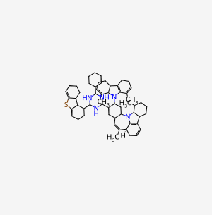 CC1=CCCC2=C1N(C1CC3C(C=C1C1NC(C4C=CCCC4)NC(C4CCC=C5SC6=CC=CCC6C54)N1)C=C(C)[C@@H]1CC=CC4=C1N3C1C(C)CCCC41)C1C(C)=CCCC21